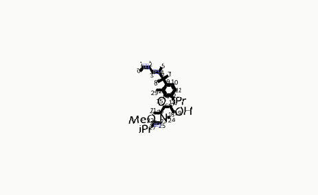 C/C=C\C=C(/C)C(C)(C)c1ccc(C(C)C)c(OC(CCO)C(COC)N(C)/C=C/C(C)C)c1C